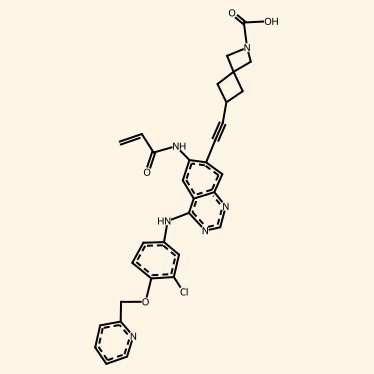 C=CC(=O)Nc1cc2c(Nc3ccc(OCc4ccccn4)c(Cl)c3)ncnc2cc1C#CC1CC2(C1)CN(C(=O)O)C2